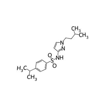 CC(C)CCn1ccc(NS(=O)(=O)c2ccc(C(C)C)cc2)n1